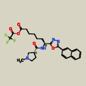 CN1CC[C@@H](C(=O)N[C@@H](CCCCCC(=O)OC(=O)C(F)(F)F)c2nnc(-c3ccc4ccccc4c3)o2)C1